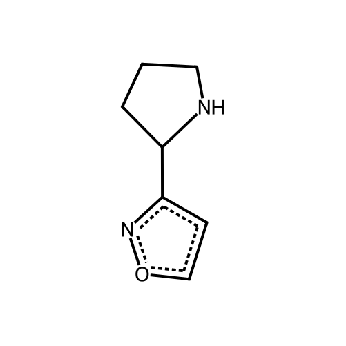 c1cc(C2CCCN2)no1